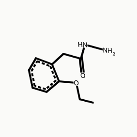 CCOc1ccccc1CC(=O)NN